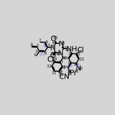 C=C/C(C)=C\C(=C/C)n1c(=O)nc(NC2=CC(=C/C)/C(=N\C(C)C)C=C2Cl)n(Cc2cc(C#N)ccc2Cl)c1=O